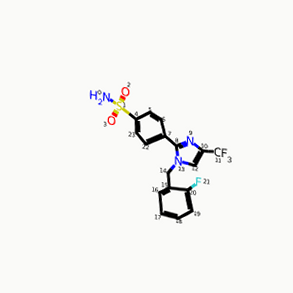 NS(=O)(=O)c1ccc(-c2nc(C(F)(F)F)cn2Cc2ccccc2F)cc1